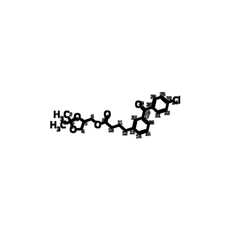 CC1(C)OCC(COC(=O)CCCc2cccc(C(=O)c3ccc(Cl)cc3)c2)O1